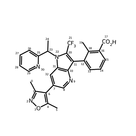 Cc1noc(C)c1-c1cnc2c(-c3cccc(C(=O)O)c3C)c(C(F)(F)F)n(C(C)c3ccccn3)c2c1